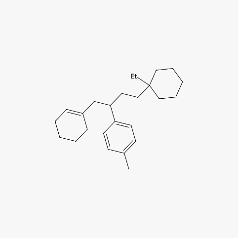 CCC1(CCC(CC2=CCCCC2)c2ccc(C)cc2)CCCCC1